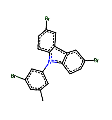 Cc1cc(Br)cc(-n2c3ccc(Br)cc3c3cc(Br)ccc32)c1